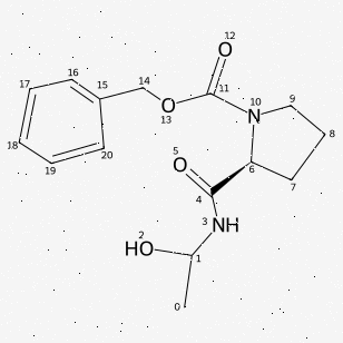 CC(O)NC(=O)[C@@H]1CCCN1C(=O)OCc1ccccc1